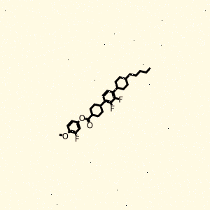 CCCCCC1CCC(c2ccc(C3CCC(C(=O)Oc4ccc(OC)c(F)c4)CC3)c(F)c2F)CC1